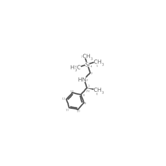 C[C@H](NC[Si](C)(C)C)c1ccccc1